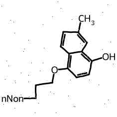 CCCCCCCCCCCCOc1ccc(O)c2cc(C)ccc12